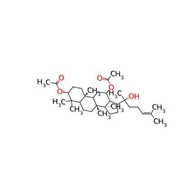 CC(=O)O[C@H]1CC[C@@]2(C)C(CC[C@]3(C)C2C[C@@H](OC(C)=O)C2C(C(C)(O)CCC=C(C)C)CC[C@]23C)C1(C)C